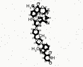 C[C@@H]1CN(c2cccc3c(C4CCC(=O)NC4=O)nn(C)c23)CCN1CC1CCN(c2cc(Nc3ccc4c(c3)c3c(c(=O)n4C)OCC(F)(F)[C@H](C4CC4)N3)n3ncc(C#N)c3n2)CC1